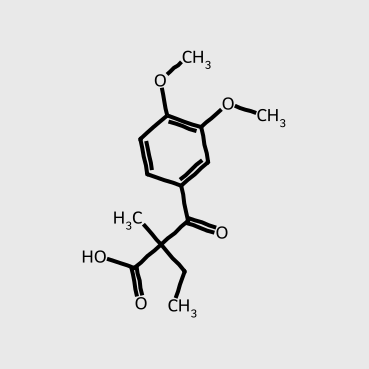 CCC(C)(C(=O)O)C(=O)c1ccc(OC)c(OC)c1